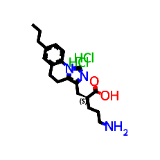 CCCc1ccc2c(c1)CCc1c(C[C@H](CCCN)C(=O)O)ncn1-2.Cl.Cl